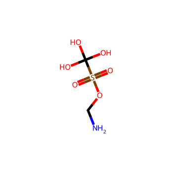 NCOS(=O)(=O)C(O)(O)O